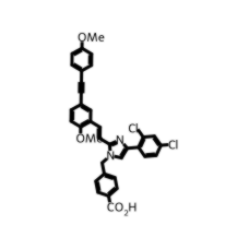 COc1ccc(C#Cc2ccc(OC)c(/C=C/c3nc(-c4ccc(Cl)cc4Cl)cn3Cc3ccc(C(=O)O)cc3)c2)cc1